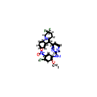 COc1cc(F)c([N+](=O)[O-])cc1Nc1nccc(-c2c3n(c4ccccc24)CC(F)(F)CC3)n1